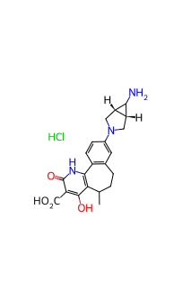 CC1CCc2cc(N3C[C@@H]4C(N)[C@@H]4C3)ccc2-c2[nH]c(=O)c(C(=O)O)c(O)c21.Cl